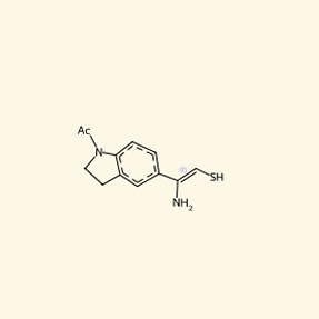 CC(=O)N1CCc2cc(/C(N)=C/S)ccc21